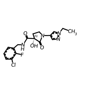 CCn1cc(N2CC[C@](O)(C(=O)NCc3cccc(Cl)c3F)C2=O)cn1